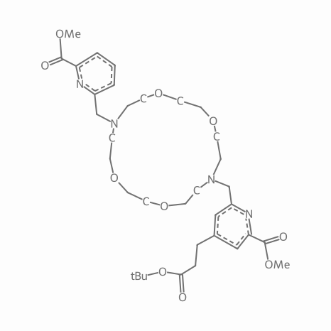 COC(=O)c1cccc(CN2CCOCCOCCN(Cc3cc(CCC(=O)OC(C)(C)C)cc(C(=O)OC)n3)CCOCCOCC2)n1